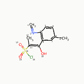 C=Nc1ccc(C)cc1/C(O)=C(\C)S(=O)(=O)Cl